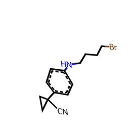 N#CC1(c2ccc(NCCCCBr)cc2)CC1